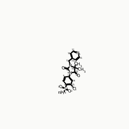 CCCS(=O)(=O)c1ccc(N2C(=O)N(Cc3ccncc3)C(C)(C)C2=O)cc1Cl